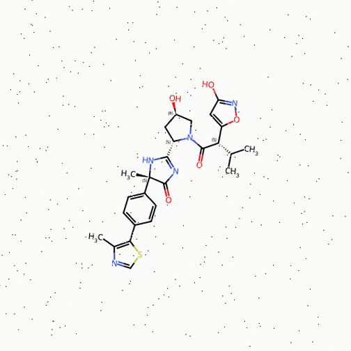 Cc1ncsc1-c1ccc([C@]2(C)NC([C@@H]3C[C@@H](O)CN3C(=O)[C@H](c3cc(O)no3)C(C)C)=NC2=O)cc1